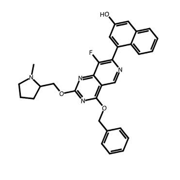 CN1CCCC1COc1nc(OCc2ccccc2)c2cnc(-c3cc(O)cc4ccccc34)c(F)c2n1